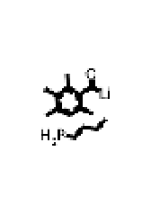 CCCCP.[Li][C](=O)c1c(C)cc(C)c(C)c1C